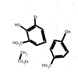 CCOC(C)=O.CCc1cccc(C(=O)O)c1O.O=C(O)c1ccc(O)cc1